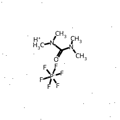 CN(C)C(=O)N(C)C.F[P-](F)(F)(F)(F)F.[H+]